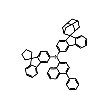 c1ccc(-c2ccc(N(c3ccc4c(c3)-c3ccccc3C43CCCC3)c3ccc4c(c3)-c3ccccc3C43C4CC5CC(C4)CC3C5)c3ccccc23)cc1